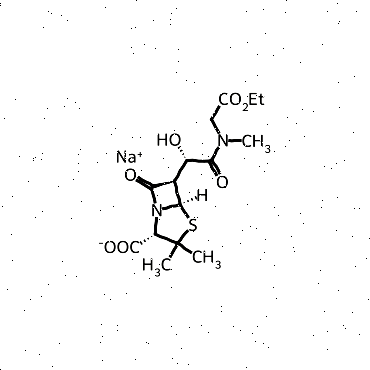 CCOC(=O)CN(C)C(=O)[C@@H](O)[C@@H]1C(=O)N2[C@@H]1SC(C)(C)[C@@H]2C(=O)[O-].[Na+]